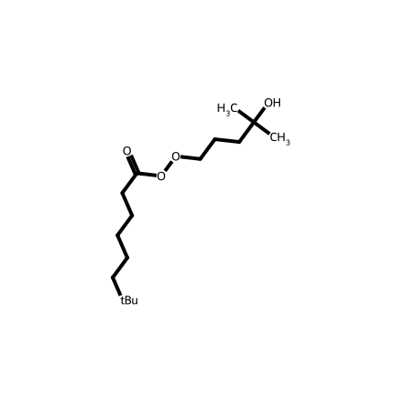 CC(C)(C)CCCCCC(=O)OOCCCC(C)(C)O